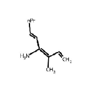 C=C/C(C)=C(N)\C=C\CCC